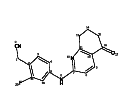 N#CCc1ccc(Nc2ccc3c(n2)CCCC3=O)cc1F